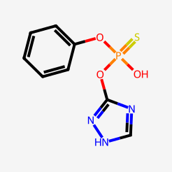 OP(=S)(Oc1ccccc1)Oc1nc[nH]n1